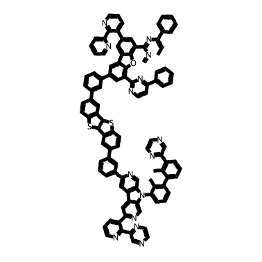 C=N/C(=N\C(=C/C)c1ccccc1)c1cc(-c2cccnc2-c2ccccn2)cc2c1oc1c(-c3nccc(-c4ccccc4)n3)cc(-c3cccc(-c4ccc5c(c4)C4Sc6ccc(-c7cccc(-c8cc9c%10cc(-c%11cccnc%11-c%11cnccn%11)ncc%10n(-c%10cccc(-c%11cccc(-c%12cnccn%12)c%11C)c%10C)c9cn8)c7)cc6C4S5)c3)cc12